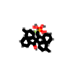 Cc1ccc(C(C(=O)c2ccccc2)(/C(=C(\F)P(=O)(O)O)c2ccccc2)c2ccc(C)cc2)cc1